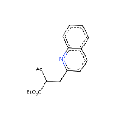 CCOC(=O)C(Cc1ccc2ccccc2n1)C(C)=O